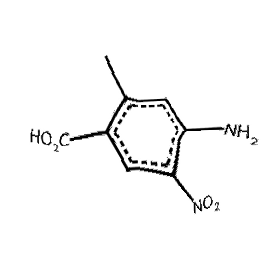 Cc1cc(N)c([N+](=O)[O-])cc1C(=O)O